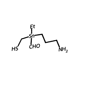 C[CH2][Sn]([CH]=O)([CH2]S)[CH2]CCN